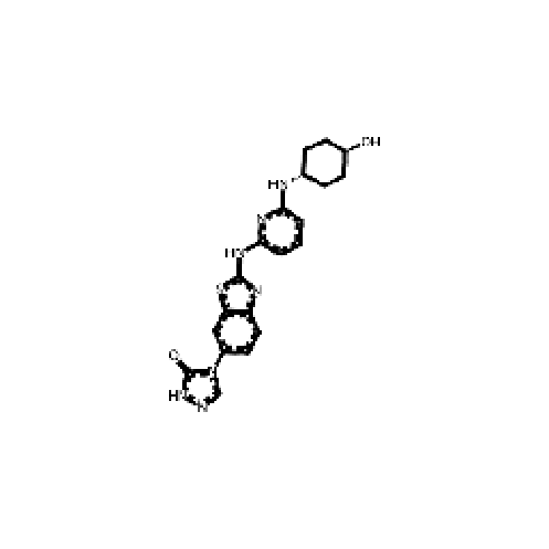 O=c1[nH]ncn1-c1ccc2nc(Nc3cccc(N[C@H]4CC[C@H](O)CC4)n3)sc2c1